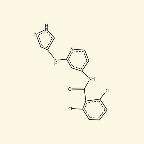 O=C(Nc1ccnc(Nc2cn[nH]c2)c1)c1c(Cl)cccc1Cl